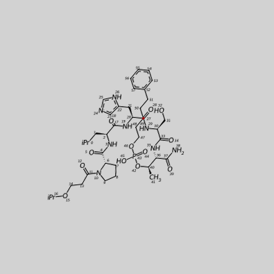 CC(C)C[C@H](NC(=O)[C@@H]1CCCN1C(=O)CCOC(C)C)C(=O)N[C@@H](Cc1cnc[nH]1)C(=O)N[C@@H](CO)C(=O)N[C@H](C(N)=O)[C@@H](C)OP(=O)(O)OCCCCCc1ccccc1